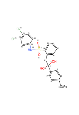 COc1ccc(C(O)(O)Cc2ccccc2S(=O)(=O)Nc2ccc(Cl)c(Cl)c2)cc1